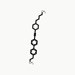 CCCCCC1CCC(C#Cc2ccc(-c3ccc(CCC)cc3)cc2)CC1